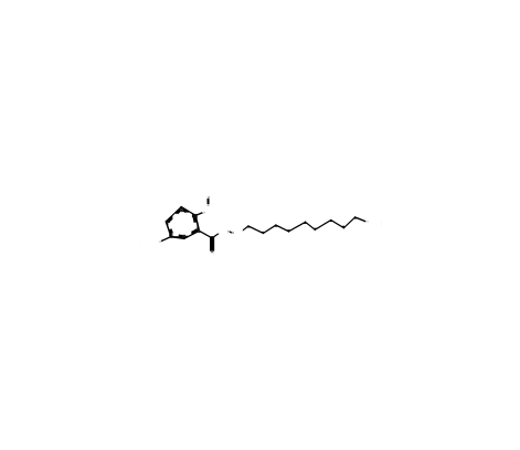 [CH2]CCCCCCCCCOOC(=O)c1cc(OC)ccc1OC